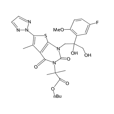 CCCCOC(=O)C(C)(C)n1c(=O)c2c(C)c(-n3nccn3)sc2n(CC(O)(CO)c2cc(F)ccc2OC)c1=O